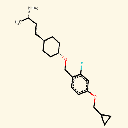 CC(=O)N[C@@H](C)CC[C@H]1CC[C@H](OCc2ccc(OCC3CC3)cc2F)CC1